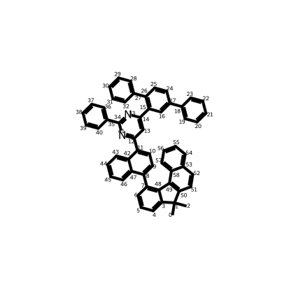 CC1(C)c2cccc(-c3ccc(-c4cc(-c5cc(-c6ccccc6)ccc5-c5ccccc5)nc(-c5ccccc5)n4)c4ccccc34)c2-c2c1ccc1ccccc21